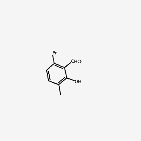 Cc1ccc(C(C)C)c([C]=O)c1O